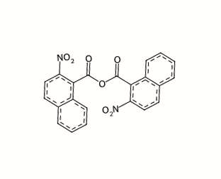 O=C(OC(=O)c1c([N+](=O)[O-])ccc2ccccc12)c1c([N+](=O)[O-])ccc2ccccc12